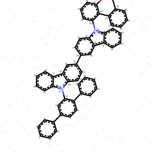 c1ccc(-c2ccc(-c3ccccc3)c(-n3c4ccccc4c4cc(-c5ccc6c(c5)c5ccccc5n6-c5cccc6c5-c5ccccc5CO6)ccc43)c2)cc1